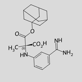 C[C@](Nc1cccc(C(=N)N)c1)(C(=O)O)C(=O)OC12CC3CC(CC(C3)C1)C2